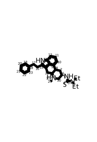 CCN(CC)C(=S)N[C@H]1CC2c3cccc4[nH]c(CCc5ccccc5)c(c34)C[C@H]2N(C)C1